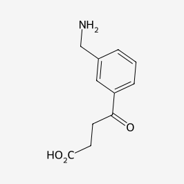 NCc1cccc(C(=O)CCC(=O)O)c1